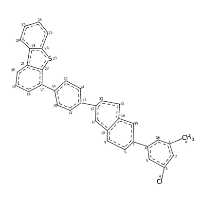 Cc1cc(Cl)cc(-c2ccc3cc(-c4ccc(-c5cccc6c5sc5ccccc56)cc4)ccc3c2)c1